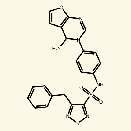 NC1c2ccoc2N=CN1c1ccc(NS(=O)(=O)c2nsnc2Cc2ccccc2)cc1